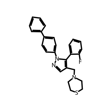 Fc1ccccc1-c1c(CN2CCSCC2)cnn1-c1ccc(-c2ccccc2)cc1